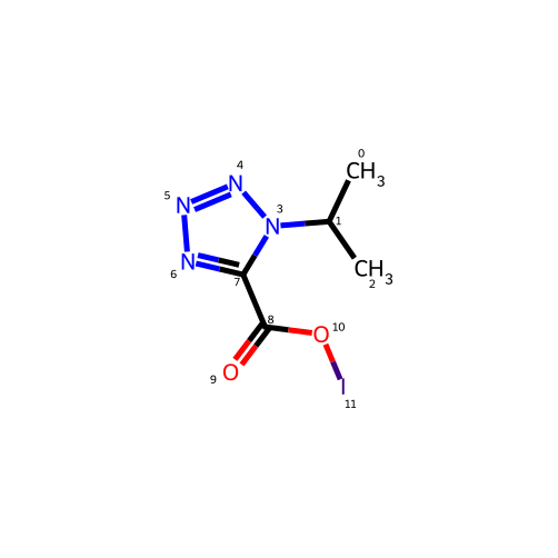 CC(C)n1nnnc1C(=O)OI